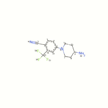 N#Cc1ccc(N2CCC(N)CC2)cc1C(F)(F)F